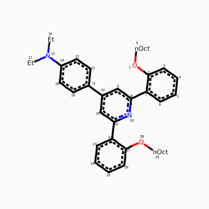 CCCCCCCCOc1ccccc1-c1cc(-c2ccc(N(CC)CC)cc2)cc(-c2ccccc2OCCCCCCCC)n1